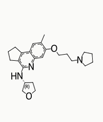 Cc1cc2c3c(c(N[C@@H]4CCOC4)nc2cc1OCCCN1CCCC1)CCC3